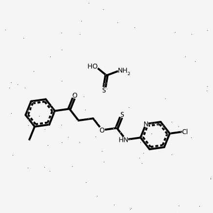 Cc1cccc(C(=O)CCOC(=S)Nc2ccc(Cl)cn2)c1.NC(O)=S